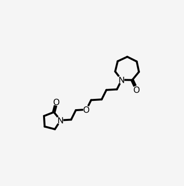 O=C1CCCCCN1CCCCOCCN1CCCC1=O